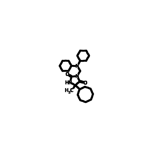 CC1(C2CCCCCCC2)NC(=O)N(CN(C2CCCCC2)C2CCCCC2)C1=O